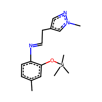 Cc1ccc(N=CCc2cnn(C)c2)c(O[Si](C)(C)C)c1